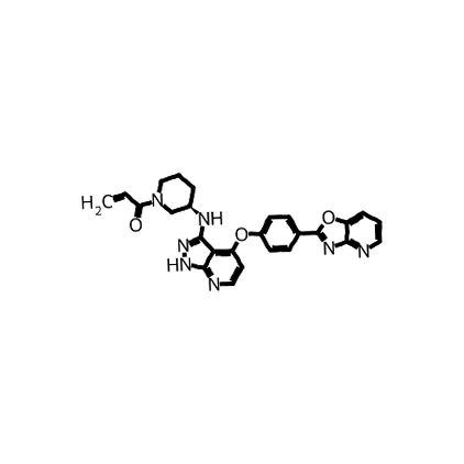 C=CC(=O)N1CCC[C@@H](Nc2n[nH]c3nccc(Oc4ccc(-c5nc6ncccc6o5)cc4)c23)C1